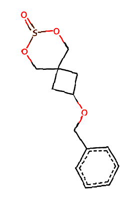 O=S1OCC2(CO1)CC(OCc1ccccc1)C2